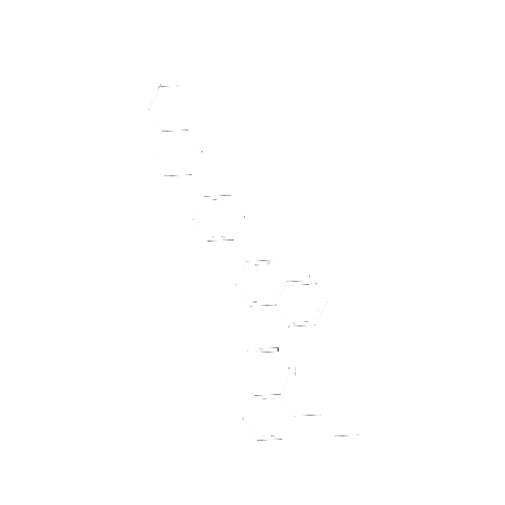 C=C(O)CC1CCC(c2ccc(-c3ccc4c(C(=O)Nc5ccccc5CCC)ccnc4c3)cc2)CC1